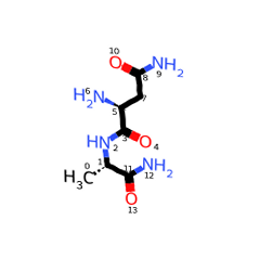 C[C@H](NC(=O)[C@@H](N)CC(N)=O)C(N)=O